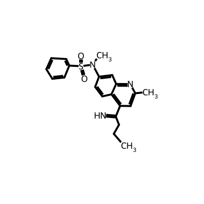 CCCC(=N)c1cc(C)nc2cc(N(C)S(=O)(=O)c3ccccc3)ccc12